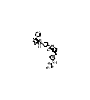 CC(C)(C)OC(=O)N[C@@H]1CCCN(Cc2ccnc(C(=O)NC3CCN(c4nc5c(N6CCOCC6)ncnc5[nH]4)CC3)c2)C1